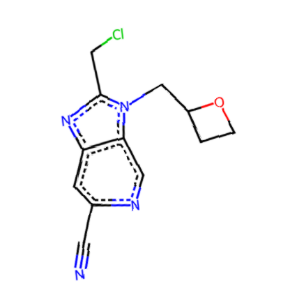 N#Cc1cc2nc(CCl)n(CC3CCO3)c2cn1